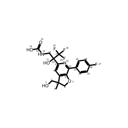 CC1(CO)COc2c1cc(C(O)(CNC(=O)O)C(F)(F)F)nc2-c1ccc(F)cc1